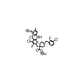 Cc1cc(Nc2nc(C[C@@]3(C(=O)OC(C)(C)C)CCN(Cc4cccc(Cl)c4F)[C@H](C)C3)c(F)c(Cl)c2Cl)nn1C(C)(C)C